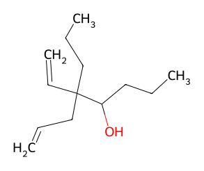 C=CCC(C=C)(CCC)C(O)CCC